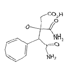 NC(=O)C(c1ccccc1)C([O])(CC(=O)O)C(N)=O